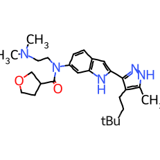 Cc1[nH]nc(-c2cc3ccc(N(CCN(C)C)C(=O)C4CCOC4)cc3[nH]2)c1CCC(C)(C)C